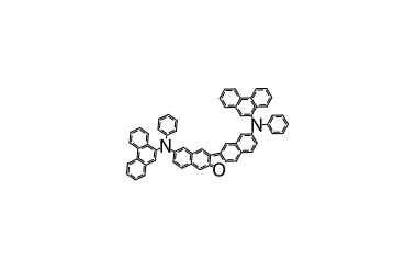 c1ccc(N(c2ccc3cc4oc5cc6ccc(N(c7ccccc7)c7cc8ccccc8c8ccccc78)cc6cc5c4cc3c2)c2cc3ccccc3c3ccccc23)cc1